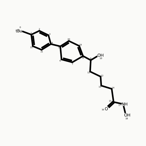 CC(C)(C)c1ccc(-c2ccc(C(O)CCCCC(=O)NO)cc2)cc1